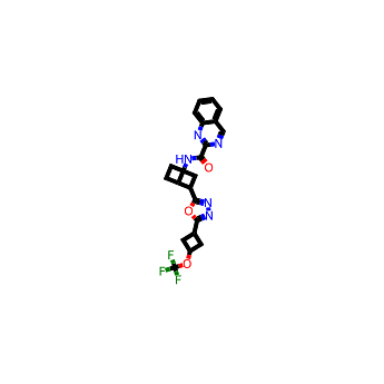 O=C(NC12CCC1C(c1nnc(C3CC(OC(F)(F)F)C3)o1)C2)c1ncc2ccccc2n1